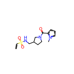 C=CS(=O)(=O)NCC1CCN(C(=O)c2cccn2C)C1